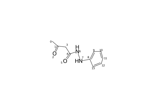 CC(=O)CC(=O)NNc1ccccc1